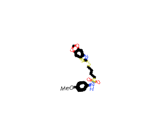 COc1ccc(NS(=O)(=O)CCCCSc2nc3cc4c(cc3s2)OCO4)cc1